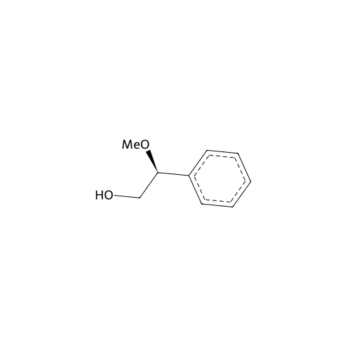 CO[C@H](CO)c1ccccc1